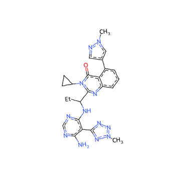 CCC(Nc1ncnc(N)c1-c1nnn(C)n1)c1nc2cccc(-c3cnn(C)c3)c2c(=O)n1C1CC1